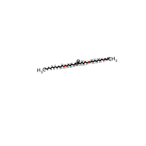 CCCCCCCCCCCCCCCCCCCCOC(=O)CCCCCCCCCCCCCCCCCCC